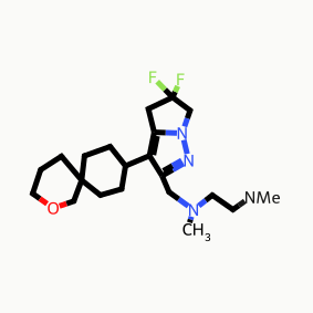 CNCCN(C)Cc1nn2c(c1C1CCC3(CCCOC3)CC1)CC(F)(F)C2